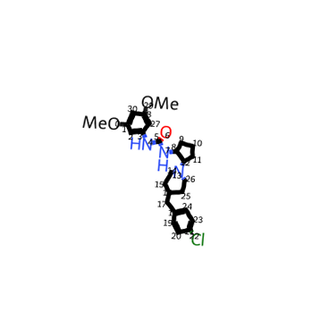 COc1cc(NC(=O)NC2CCCC2N2CCC(Cc3ccc(Cl)cc3)CC2)cc(OC)c1